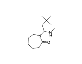 CNC(CC(C)(C)C)N1CCCCCC1=O